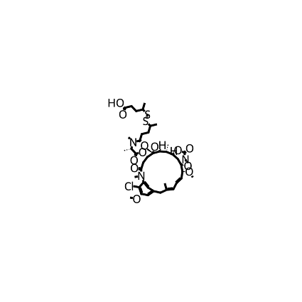 COc1cc2cc(c1Cl)N(C)C(=O)C[C@H](OC(=O)[C@H](C)N(C)C(=O)CCC(C)SSC(C)CCC(=O)O)[C@]1(C)O[C@H]1[C@H](C)[C@@H]1C[C@]3(ON3C(=O)O1)[C@H](OC)/C=C/C=C(\C)C2